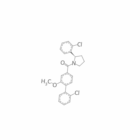 COc1cc(C(=O)N2CCC[C@@H]2c2ccccc2Cl)ccc1-c1ccccc1Cl